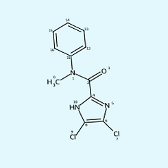 CN(C(=O)c1nc(Cl)c(Cl)[nH]1)c1ccccc1